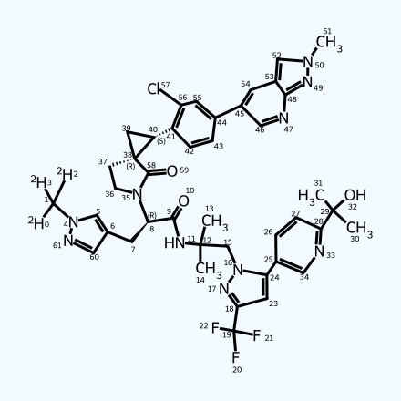 [2H]C([2H])([2H])n1cc(C[C@H](C(=O)NC(C)(C)Cn2nc(C(F)(F)F)cc2-c2ccc(C(C)(C)O)nc2)N2CC[C@@]3(C[C@@H]3c3ccc(-c4cnc5nn(C)cc5c4)cc3Cl)C2=O)cn1